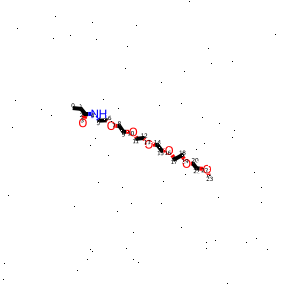 CCC(=O)NCCOCCOCCOCCOCCOCCOC